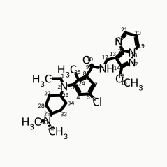 CCN(c1cc(Cl)cc(C(=O)NCc2c(OC)nn3cccnc23)c1C)C1CCC(N(C)C)CC1